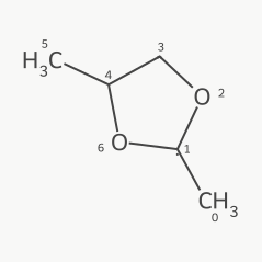 C[C]1OCC(C)O1